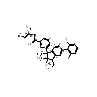 CCC1c2cc(-c3c(F)cccc3F)nnc2C(C)(c2cccc(C(=O)N[C@@H](C)CO)n2)C1(C)C